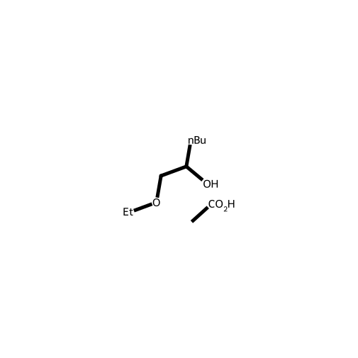 CC(=O)O.CCCCC(O)COCC